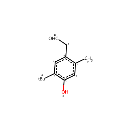 Cc1cc(O)c(C(C)(C)C)cc1CC=O